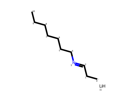 [CH2]CC=NCCCCCCC.[LiH]